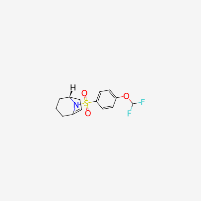 O=S(=O)(c1ccc(OC(F)F)cc1)N1C2=CC[C@H]1CCC2